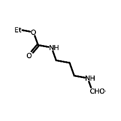 CCOC(=O)NCCCN[C]=O